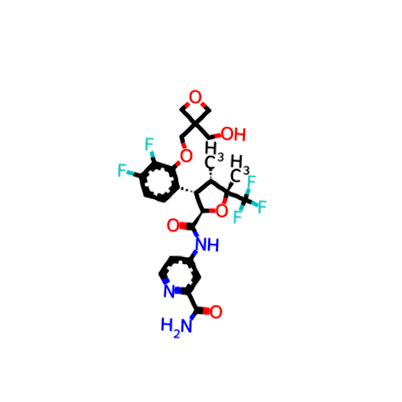 C[C@H]1[C@@H](c2ccc(F)c(F)c2OCC2(CO)COC2)[C@H](C(=O)Nc2ccnc(C(N)=O)c2)O[C@@]1(C)C(F)(F)F